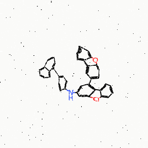 c1ccc2c(-c3ccc(Nc4cc(-c5ccc6oc7ccccc7c6c5)c5c(c4)oc4ccccc45)cc3)cccc2c1